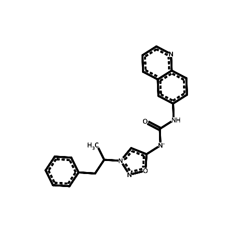 CC(Cc1ccccc1)[n+]1cc([N-]C(=O)Nc2ccc3ncccc3c2)on1